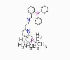 CC(C)(C)P(Cc1cccc(C/C=N/Cc2ccccc2P(c2ccccc2)c2ccccc2)n1)C(C)(C)C